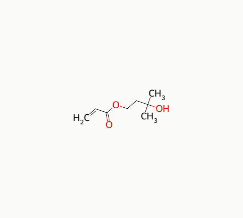 C=CC(=O)OCCC(C)(C)O